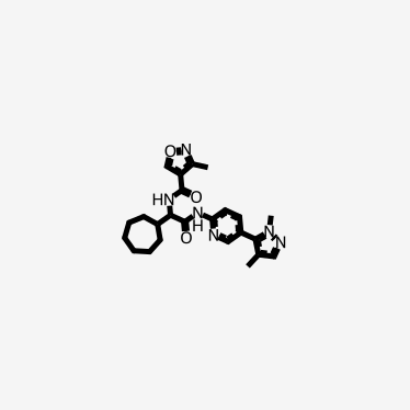 Cc1cnn(C)c1-c1ccc(NC(=O)C(NC(=O)c2conc2C)C2CCCCCC2)nc1